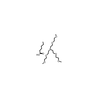 CCCCCC(=O)O.COCCOCCN(CCOCCOC)CCOCCOC